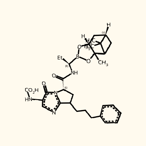 CC[C@H](NC(=O)[C@@H]1CC(CCCc2ccccc2)c2ncc(NC(=O)O)c(=O)n21)B1O[C@@H]2C[C@@H]3CC(C3(C)C)C2(C)O1